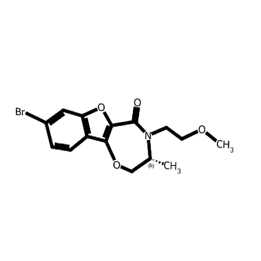 COCCN1C(=O)c2oc3cc(Br)ccc3c2OC[C@H]1C